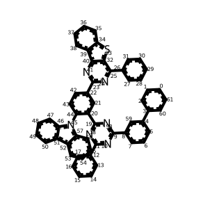 c1ccc(-c2cccc(-c3nc(-c4ccccc4)nc(-c4cc(-c5nc(-c6ccccc6)c6sc7ccccc7c6n5)ccc4-n4c5ccccc5c5ccccc54)n3)c2)cc1